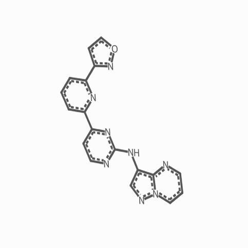 c1cc(-c2ccon2)nc(-c2ccnc(Nc3cnn4cccnc34)n2)c1